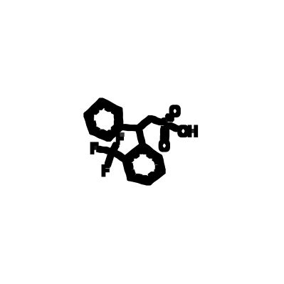 O=S(=O)(O)CC(c1ccccc1)c1ccccc1C(F)(F)F